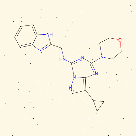 c1ccc2[nH]c(CNc3nc(N4CCOCC4)nc4c(C5CC5)cnn34)nc2c1